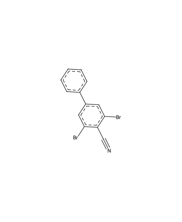 N#Cc1c(Br)cc(-c2ccccc2)cc1Br